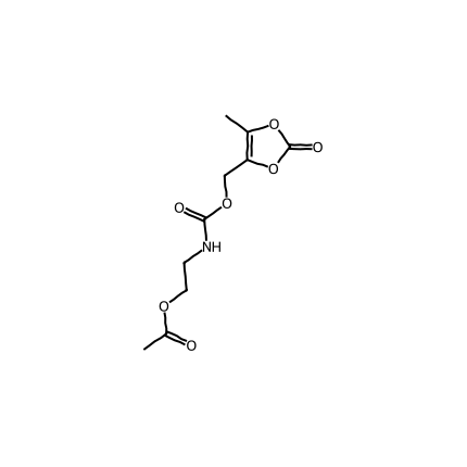 CC(=O)OCCNC(=O)OCc1oc(=O)oc1C